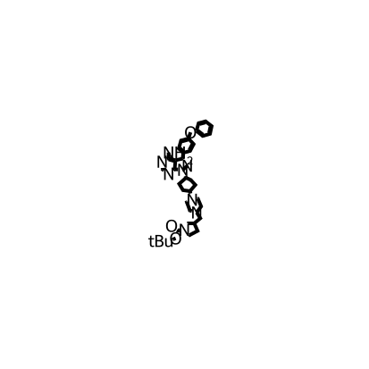 CC(C)(C)OC(=O)N1CCC(CN2CCN(C3CCC(n4nc(-c5ccc(Oc6ccccc6)cc5)c5c(N)ncnc54)CC3)CC2)C1